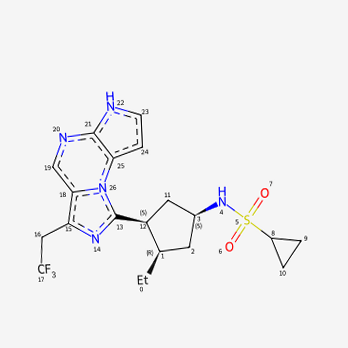 CC[C@@H]1C[C@H](NS(=O)(=O)C2CC2)C[C@@H]1c1nc(CC(F)(F)F)c2cnc3[nH]ccc3n12